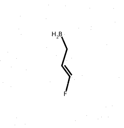 BCC=CF